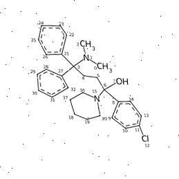 CN(C)C(CCC(O)(c1ccc(Cl)cc1)N1CCCCC1)(c1ccccc1)c1ccccc1